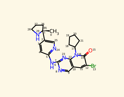 C[C@]1(c2ccc(Nc3ncc4cc(Br)c(=O)n(C5CCCC5)c4n3)nc2)CCCN1